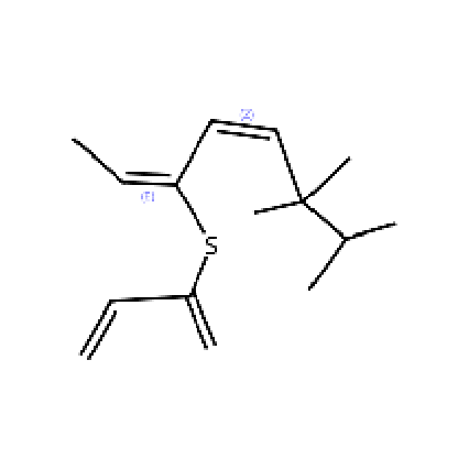 C=CC(=C)SC(/C=C\C(C)(C)C(C)C)=C/C